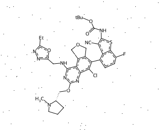 CCc1nnc(CNc2nc(OC[C@@H]3CCCN3C)nc3c(Cl)c(-c4ccc(F)c5sc(NC(=O)OC(C)(C)C)c(C#N)c45)c4c(c23)COC4)o1